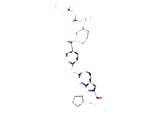 CN(C)C(=O)c1cc2cnc(Nc3ccc(C(=O)N4CCCC(N(C)C(=O)OC(C)(C)C)C4)cn3)nc2n1C1CCCC1